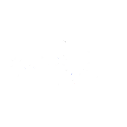 COc1ccc([C@H](CC(=O)[O-])NC(=O)[C@H](CC(C)C)N2C(=O)N(Cc3ccc(NC(=O)Nc4ccccc4C)cc3)C3(CCCCC3)C2=O)c(OC)c1.[Na+]